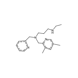 CCNCCCN(Cc1ccccn1)Cc1ncc(C)cc1C